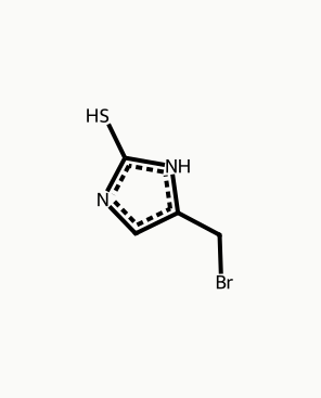 Sc1ncc(CBr)[nH]1